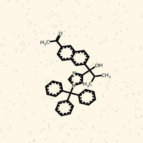 CC(=O)c1ccc2cc(C(O)(c3cn(C(c4ccccc4)(c4ccccc4)c4ccccc4)cn3)C(C)C)ccc2c1